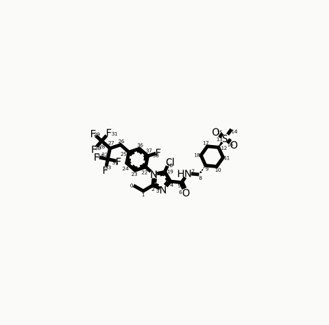 CCc1nc(C(=O)NC[C@H]2CC[C@H](S(C)(=O)=O)CC2)c(Cl)n1-c1ccc(CC(C(F)(F)F)C(F)(F)F)cc1F